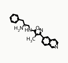 Cc1c(-c2ccc3cnccc3c2)noc1NC[C@@H](N)Cc1ccccc1